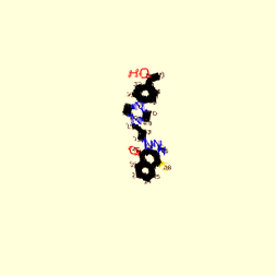 C=C(O)c1ccc(N2CCN(CCCn3nnc4c3C(=O)c3ccccc3C4=S)CC2)cc1